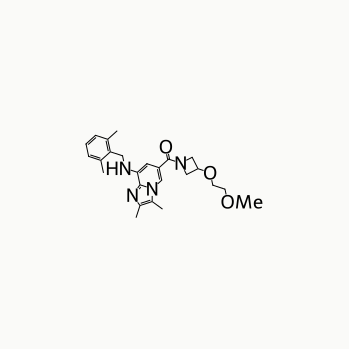 COCCOC1CN(C(=O)c2cc(NCc3c(C)cccc3C)c3nc(C)c(C)n3c2)C1